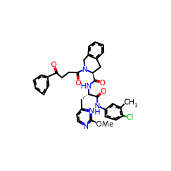 COc1nccc(C[C@H](NC(=O)[C@@H]2Cc3ccccc3CN2C(=O)CCC(=O)c2ccccc2)C(=O)Nc2ccc(Cl)c(C)c2)n1